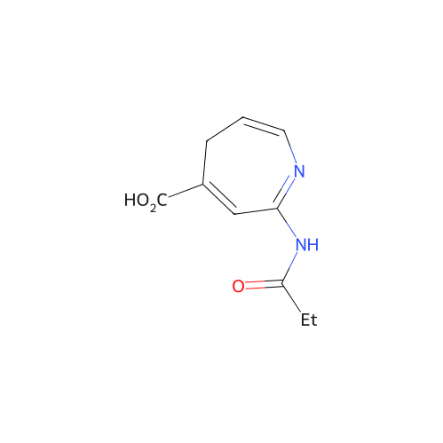 CCC(=O)NC1=NC=CCC(C(=O)O)=C1